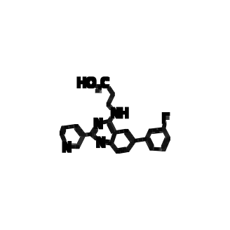 O=C(O)CCNc1nc(-c2cccnc2)nc2ccc(-c3cccc(F)c3)cc12